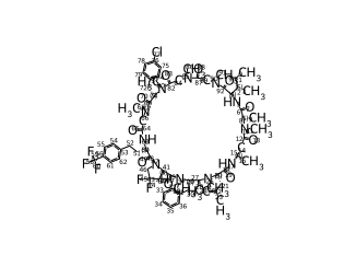 CC[C@H](C)[C@@H]1NC(=O)[C@H](C)N(C)C(=O)C[C@@H](C)NC(=O)[C@H](CC(C)C)N(C)C(=O)[C@H](Cc2ccccc2)N(C)C(=O)[C@@H]2CC(F)(F)CN2C(=O)[C@H](CCc2ccc(C(F)(F)F)cc2)NC(=O)CN(C)C(=O)[C@H](Cc2ccc(Cl)cc2)N(C)C(=O)CN(C)C(=O)CN(C)C1=O